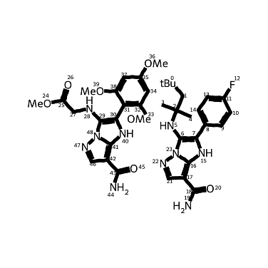 CC(C)(C)CC(C)(C)Nc1c(-c2ccc(F)cc2)[nH]c2c(C(N)=O)cnn12.COC(=O)CNc1c(-c2c(OC)cc(OC)cc2OC)[nH]c2c(C(N)=O)cnn12